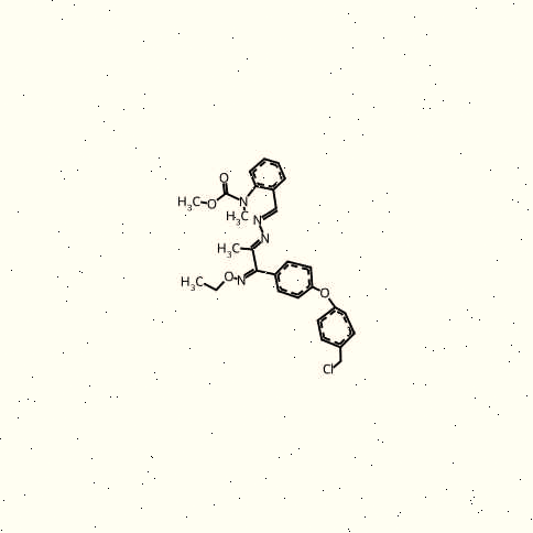 CCO\N=C(/C(C)=N/N=C/c1ccccc1N(C)C(=O)OC)c1ccc(Oc2ccc(CCl)cc2)cc1